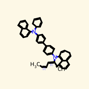 C#C/C(=C\C=C/C)N(C1=c2ccccc2=CCC=C1)c1ccc(-c2ccc(N(c3cccc4ccccc34)C3C=CC=CC3)cc2)cc1